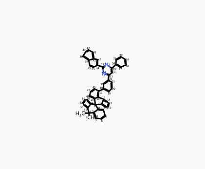 CC1(C)c2ccccc2C2(c3ccccc3-c3c(-c4cccc(-c5cc(-c6ccccc6)nc(-c6ccc7ccccc7c6)n5)c4)cccc32)c2ccccc21